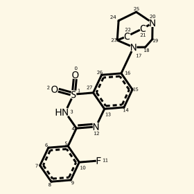 O=S1(=O)NC(c2ccccc2F)=Nc2ccc(N3CCN4CCC3CC4)cc21